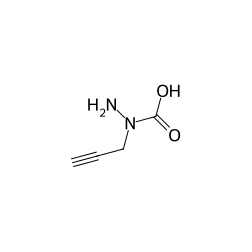 C#CCN(N)C(=O)O